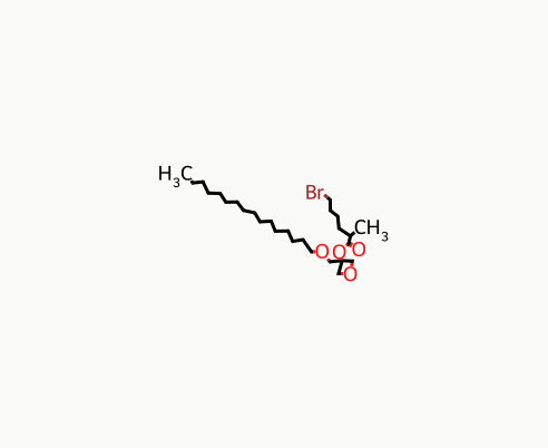 CCCCCCCCCCCCCCCCOCC1(OC(=O)C(C)CCCCBr)COC1